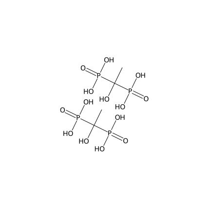 CC(O)(P(=O)(O)O)P(=O)(O)O.CC(O)(P(=O)(O)O)P(=O)(O)O